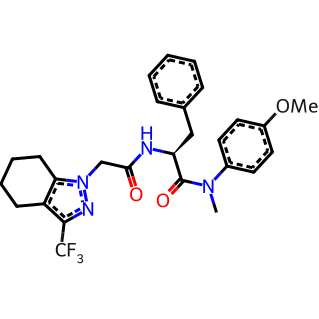 COc1ccc(N(C)C(=O)[C@H](Cc2ccccc2)NC(=O)Cn2nc(C(F)(F)F)c3c2CCCC3)cc1